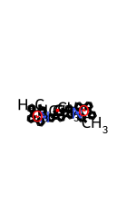 Cc1ccc(N(c2ccc3c(c2)C(C)(C)c2c-3ccc3c2C(C)(C)c2cccc4c(N(c5ccc(C)cc5)c5cccc6c5oc5c(-c7ccccc7)cccc56)ccc-3c24)c2cccc3c2oc2c(-c4ccccc4)cccc23)cc1